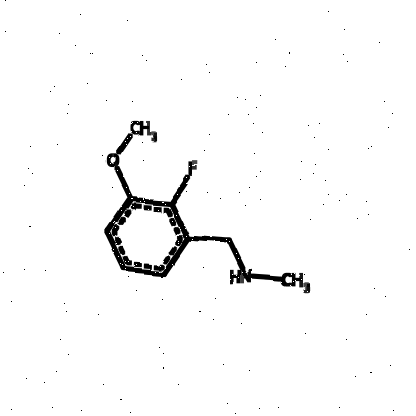 CNCc1cccc(OC)c1F